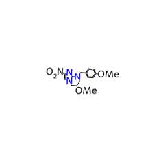 COc1ccc(CN2CC(OC)Cn3cc([N+](=O)[O-])nc32)cc1